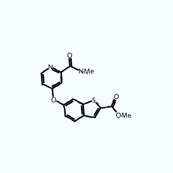 CNC(=O)c1cc(Oc2ccc3cc(C(=O)OC)sc3c2)ccn1